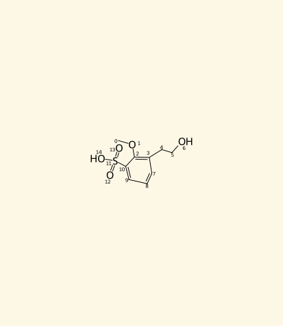 COc1c(CCO)cccc1S(=O)(=O)O